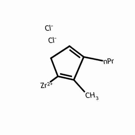 CCCC1=CC[C]([Zr+2])=C1C.[Cl-].[Cl-]